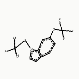 FC(F)(F)Oc1ccc2cnn(SC(F)(Cl)Cl)c2c1